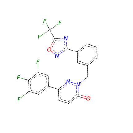 O=c1ccc(-c2cc(F)c(F)c(F)c2)nn1Cc1cccc(-c2noc(C(F)(F)F)n2)c1